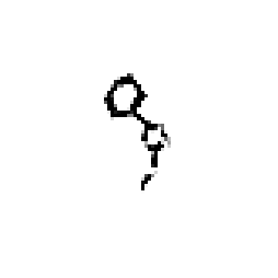 ICSc1nnc(-c2ccccc2)o1